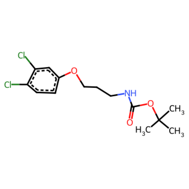 CC(C)(C)OC(=O)NCCCOc1ccc(Cl)c(Cl)c1